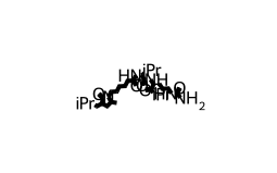 CC(C)CC1CC(C)N(CCCCCC(=O)N[C@H](C(=O)N[C@@H](CCCNC(N)=O)C(=O)C(C)C)C(C)C)C1=O